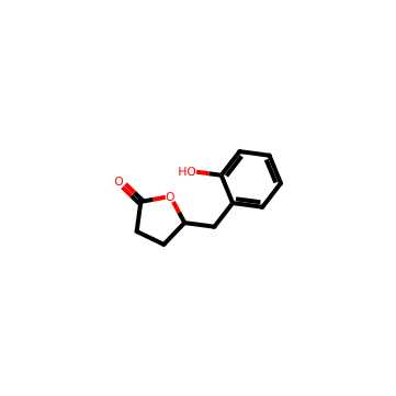 O=C1CCC(Cc2ccccc2O)O1